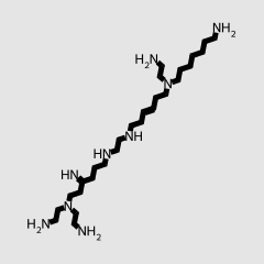 N=C(CCCNCCNCC/C=C/CCN(CCN)CCCCCCCN)CCN(CCN)CCN